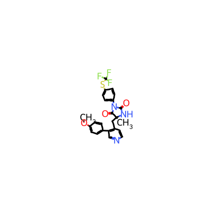 COc1ccc(-c2cnccc2CC2(C)NC(=O)N(c3ccc(SC(F)(F)F)cc3)C2=O)cc1